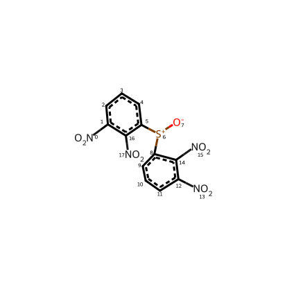 O=[N+]([O-])c1cccc([S+]([O-])c2cccc([N+](=O)[O-])c2[N+](=O)[O-])c1[N+](=O)[O-]